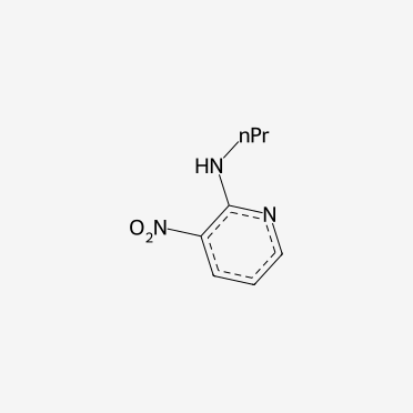 CCCNc1ncccc1[N+](=O)[O-]